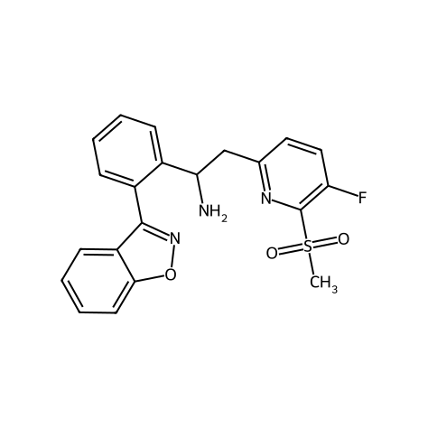 CS(=O)(=O)c1nc(CC(N)c2ccccc2-c2noc3ccccc23)ccc1F